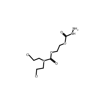 NNC(=O)OCCOC(=O)N(CCCl)CCCl